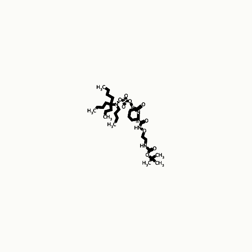 CCCCN(OS(=O)(=O)ON1C(=O)N2CC1CC[C@H]2C(=O)NOCCNC(=O)OC(C)(C)C)C(CCC)(CCCC)CCCC